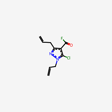 C=CCc1nn(CC=C)c(Cl)c1C(=O)F